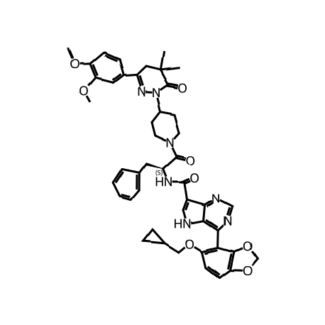 COc1ccc(C2=NN(C3CCN(C(=O)[C@H](Cc4ccccc4)NC(=O)c4c[nH]c5c(-c6c(OCC7CC7)ccc7c6OCO7)ncnc45)CC3)C(=O)C(C)(C)C2)cc1OC